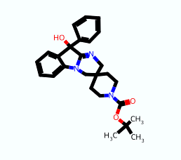 CC(C)(C)OC(=O)N1CCC2(CC1)CN=C1N(C2)c2ccccc2C1(O)c1ccccc1